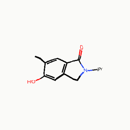 Cc1cc2c(cc1O)CN(C(C)C)C2=O